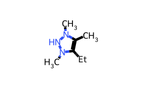 [CH2]CC1=C(C)N(C)NN1C